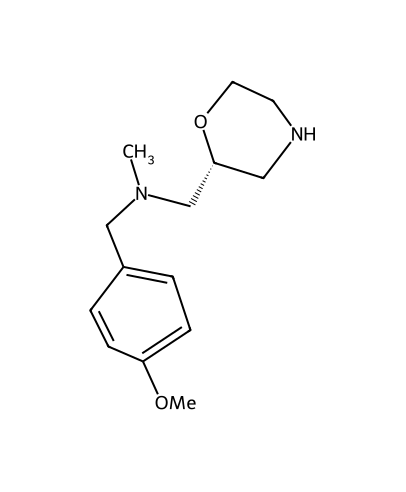 COc1ccc(CN(C)C[C@H]2CNCCO2)cc1